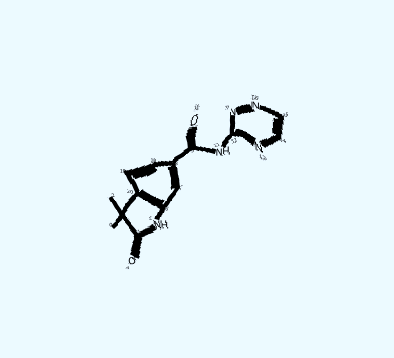 CC1(C)C(=O)Nc2cc(C(=O)Nc3nccnn3)ccc21